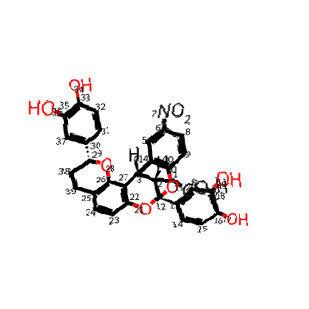 O=C(O)C[C@H]1[C@H]2c3cc([N+](=O)[O-])ccc3O[C@]1(c1ccc(O)c(O)c1)Oc1ccc3c(c12)O[C@@H](c1ccc(O)c(O)c1)CC3